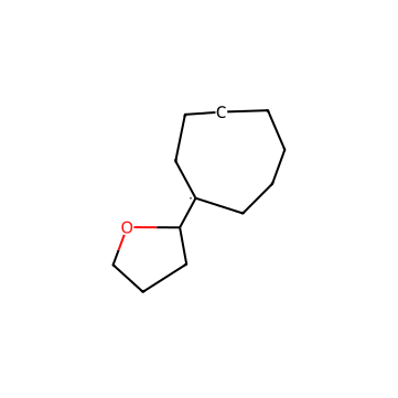 C1CCC[C](C2CCCO2)CCC1